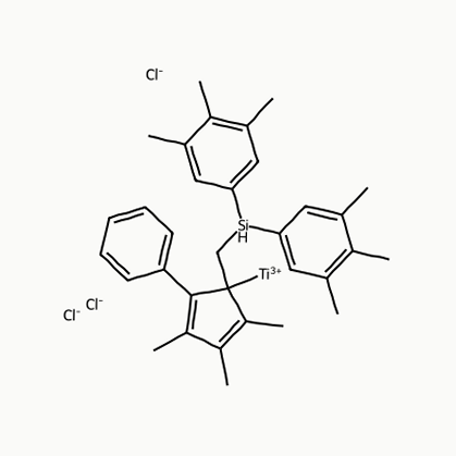 CC1=C(C)[C]([Ti+3])(C[SiH](c2cc(C)c(C)c(C)c2)c2cc(C)c(C)c(C)c2)C(c2ccccc2)=C1C.[Cl-].[Cl-].[Cl-]